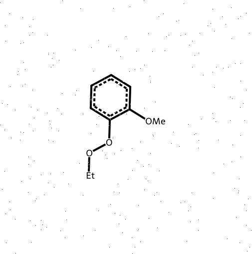 CCOOc1ccccc1OC